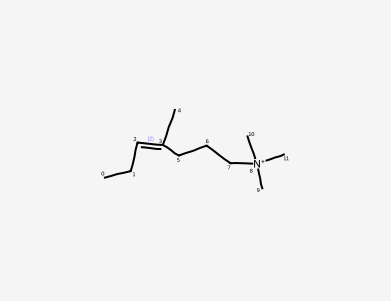 CC/C=C(/C)CCC[N+](C)(C)C